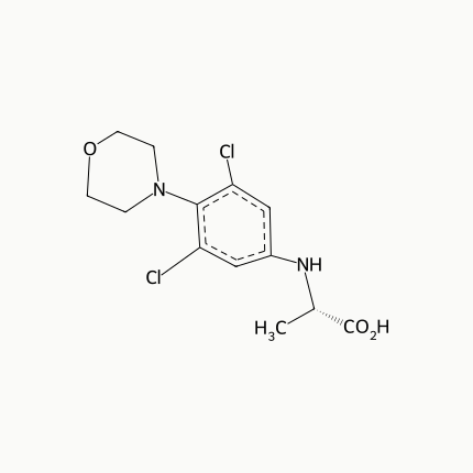 C[C@H](Nc1cc(Cl)c(N2CCOCC2)c(Cl)c1)C(=O)O